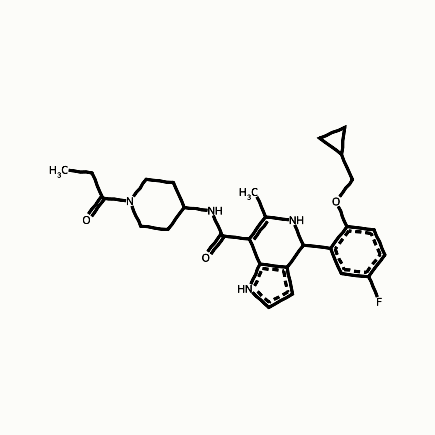 CCC(=O)N1CCC(NC(=O)C2=C(C)NC(c3cc(F)ccc3OCC3CC3)c3cc[nH]c32)CC1